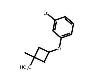 CCc1cccc(OC2CC(C)(C(=O)O)C2)c1